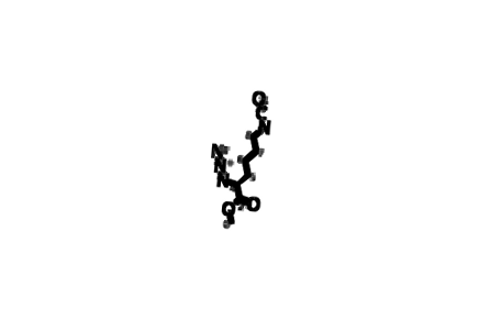 COC(=O)[C@H](CCCCN=C=O)N=[N+]=[N-]